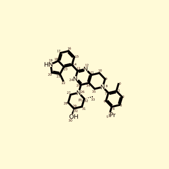 Cc1ccc(C(C)C)cc1N1CCc2nc(-c3cccc4[nH]cc(C)c34)nc(N3CC[C@H](O)C[C@H]3C)c2C1